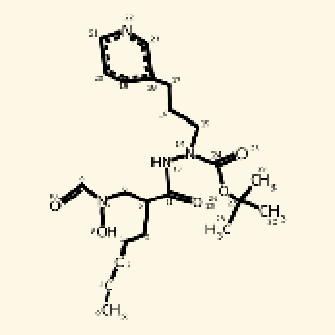 CCCCCC(CN(O)C=O)C(=O)NN(CCCc1cccnc1)C(=O)OC(C)(C)C